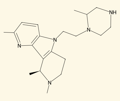 Cc1ccc2c(n1)c1c(n2CCN2CCNCC2C)CCN(C)[C@H]1C